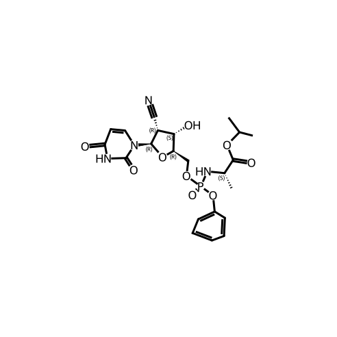 CC(C)OC(=O)[C@H](C)NP(=O)(OC[C@H]1O[C@@H](n2ccc(=O)[nH]c2=O)[C@H](C#N)[C@@H]1O)Oc1ccccc1